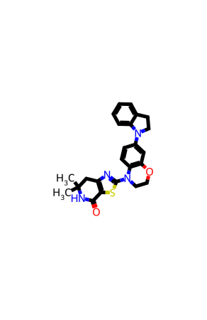 CC1(C)Cc2nc(N3CCOc4cc(N5CCc6ccccc65)ccc43)sc2C(=O)N1